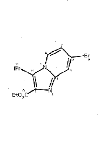 CCOC(=O)c1nc2cc(Br)ccn2c1C(C)C